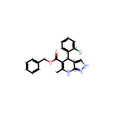 CC1=C(C(=O)OCc2ccccc2)C(c2ccccc2Cl)c2c[nH]nc2N1